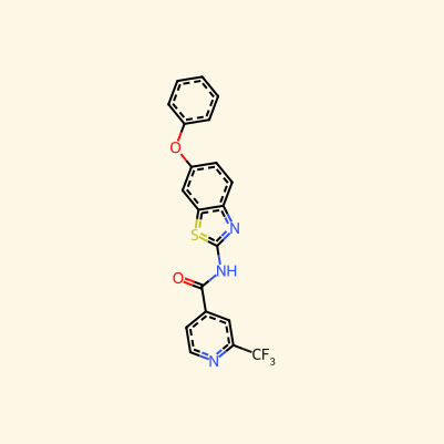 O=C(Nc1nc2ccc(Oc3ccccc3)cc2s1)c1ccnc(C(F)(F)F)c1